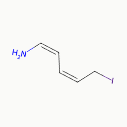 N/C=C\C=C/CI